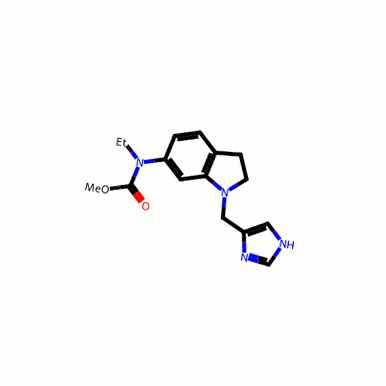 CCN(C(=O)OC)c1ccc2c(c1)N(Cc1c[nH]cn1)CC2